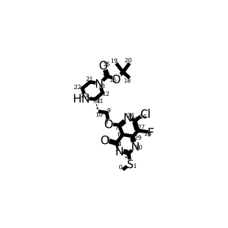 CSC1=NC(=O)C2C(OCC[C@H]3CN(C(=O)OC(C)(C)C)CCN3)=NC(Cl)=C(F)C2=N1